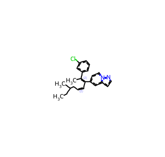 CCC(C)C/C=C\C(=C(/C)c1cccc(Cl)c1)c1ccn2nccc2c1